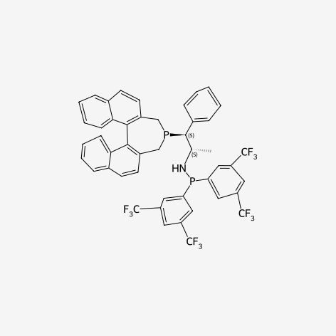 C[C@H](NP(c1cc(C(F)(F)F)cc(C(F)(F)F)c1)c1cc(C(F)(F)F)cc(C(F)(F)F)c1)[C@H](c1ccccc1)P1Cc2ccc3ccccc3c2-c2c(ccc3ccccc23)C1